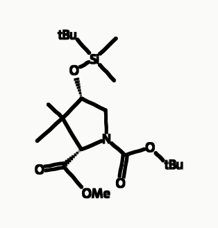 COC(=O)[C@H]1N(C(=O)OC(C)(C)C)C[C@@H](O[Si](C)(C)C(C)(C)C)C1(C)C